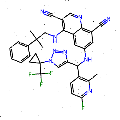 Cc1nc(F)ccc1C(Nc1cc(C#N)c2ncc(C#N)c(NCC(C)(C)c3ccccc3)c2c1)c1cn(C2(C(F)(F)F)CC2)nn1